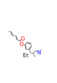 C/C=C/C=C/C(=O)Oc1cccc([C@@H](CC)[C@H](C)CN(C)C)c1